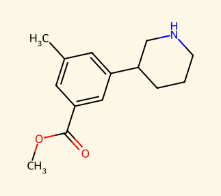 COC(=O)c1cc(C)cc(C2CCCNC2)c1